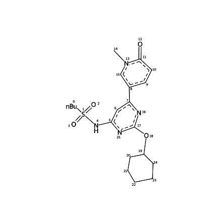 CCCCS(=O)(=O)Nc1cc(-c2ccc(=O)n(C)c2)nc(OC2CCCCC2)n1